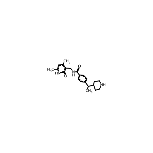 Cc1cc(C)c(CNC(=O)c2ccc(C(C)C3CCNCC3)cc2)c(=O)[nH]1